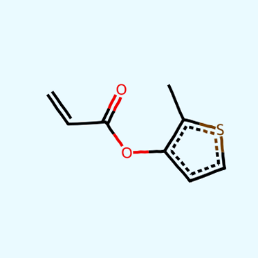 C=CC(=O)Oc1ccsc1C